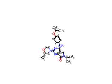 CC(C)Oc1ccc(Nc2nc(N3CCOC(C4CC4)C3)nc3c2CN(C(C)C)C3=O)cc1